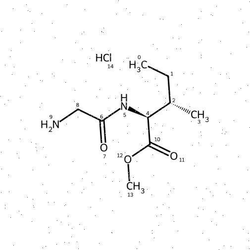 CC[C@H](C)[C@H](NC(=O)CN)C(=O)OC.Cl